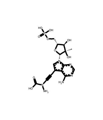 C[C@@]1(O)[C@H](O)[C@@H](COP(=O)(O)O)O[C@H]1n1cc(C#CN(N)C(=O)O)c2c(N)ncnc21